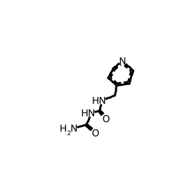 NC(=O)NC(=O)NCc1ccncc1